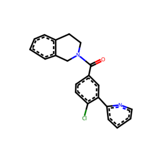 O=C(c1ccc(Cl)c(-c2ccccn2)c1)N1CCc2ccccc2C1